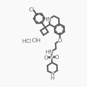 Cl.Cl.O=S(=O)(NCCOc1ccc2c(c1)C(C1(c3ccc(Cl)cc3)CCC1)NCC2)C1CCNCC1